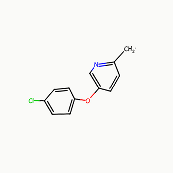 [CH2]c1ccc(Oc2ccc(Cl)cc2)cn1